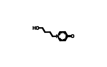 O=c1ccn(CCCCO)cc1